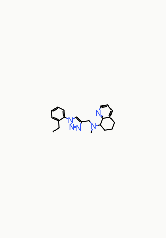 CCc1ccccc1-n1cc(CN(C)C2CCCc3cccnc32)nn1